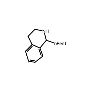 CCCCCC1NCCc2c[c]ccc21